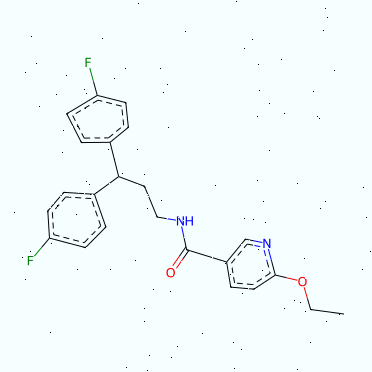 CCOc1ccc(C(=O)NCCC(c2ccc(F)cc2)c2ccc(F)cc2)cn1